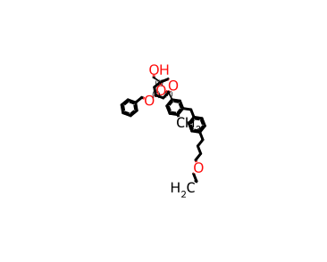 C=CCOCCCCc1ccc(Cc2cc([C@]34C[C@@H](OCc5ccccc5)C[C@](CO)(CO3)O4)ccc2C)cc1